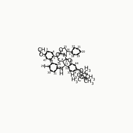 COc1ccc(CS[C@@H](C(=O)N2C(=O)OCC2c2ccccc2)[C@H](Nc2ccc(I)cc2)c2ccc(O[Si](C)(C)C(C)(C)C)cc2)cc1